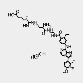 CCc1cc(Nc2nccn3c(-c4ccc(OC)c(F)c4F)cnc23)ccc1C(=O)NCCNC(=O)C(N)CCCNC(=N)NCCCC(=O)O.Cl.Cl.Cl